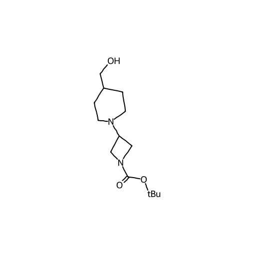 CC(C)(C)OC(=O)N1CC(N2CCC(CO)CC2)C1